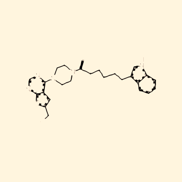 CCc1cc2c(N3CCN(C(=O)CCCCCc4c[nH]c5ccccc45)CC3)ncnc2s1